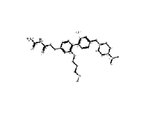 COCCCOc1cc(CCC(=O)NC(=N)N)ccc1-c1ccc(CN2CCC(N(C)C)CC2)cc1.Cl